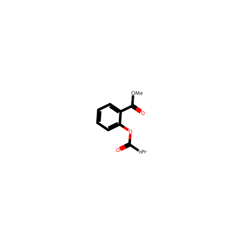 CC[CH]C(=O)Oc1ccccc1C(=O)OC